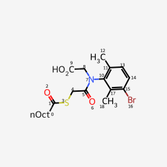 CCCCCCCCC(=O)SCC(=O)N(CC(=O)O)c1c(C)ccc(Br)c1C